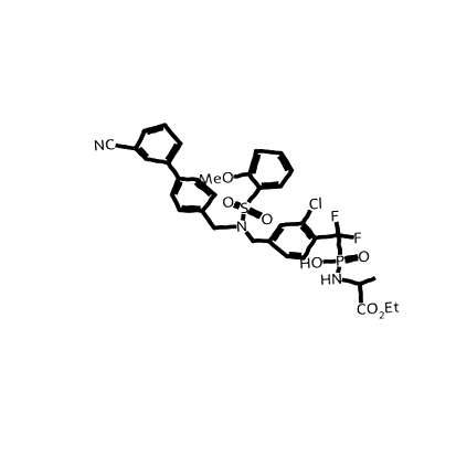 CCOC(=O)C(C)NP(=O)(O)C(F)(F)c1ccc(CN(Cc2ccc(-c3cccc(C#N)c3)cc2)S(=O)(=O)c2ccccc2OC)cc1Cl